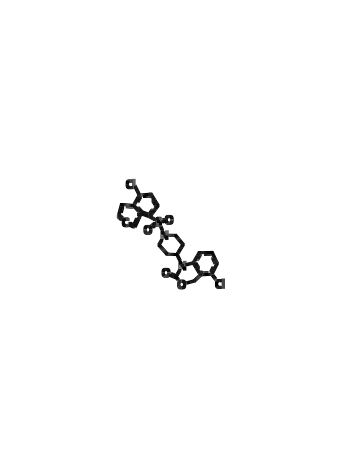 O=C1OCc2c(Cl)cccc2N1C1CCN(S(=O)(=O)c2ccc(Cl)c3ccccc23)CC1